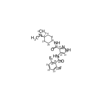 CN(C)[C@H]1CC[C@H](NC(=O)c2n[nH]cc2NC(=O)c2c(F)cccc2F)CC1